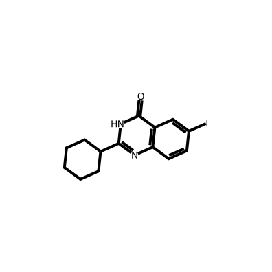 O=c1[nH]c(C2CCCCC2)nc2ccc(I)cc12